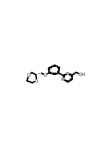 OCc1ccnc(-c2cccc(OC[C@H]3COCCO3)c2)n1